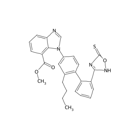 CCCCc1cc(-n2cnc3cccc(C(=O)OC)c32)ccc1-c1ccccc1-c1nc(=S)o[nH]1